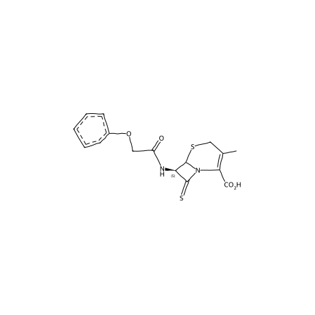 CC1=C(C(=O)O)N2C(=S)[C@@H](NC(=O)COc3ccccc3)C2SC1